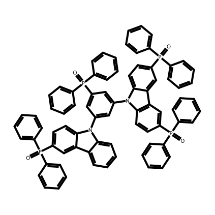 O=P(c1ccccc1)(c1ccccc1)c1cc(-n2c3ccccc3c3cc(P(=O)(c4ccccc4)c4ccccc4)ccc32)cc(-n2c3ccc(P(=O)(c4ccccc4)c4ccccc4)cc3c3cc(P(=O)(c4ccccc4)c4ccccc4)ccc32)c1